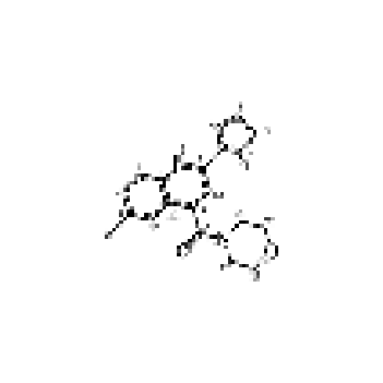 Cc1ccc2nc(-c3ccco3)cc(C(=O)N3CCOCC3)c2c1